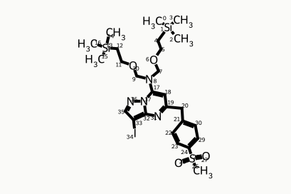 C[Si](C)(C)CCOCN(COCC[Si](C)(C)C)c1cc(Cc2ccc(S(C)(=O)=O)cc2)nc2c(I)cnn12